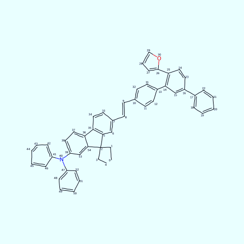 CCC1(CC)c2cc(/C=C/c3ccc(-c4cc(-c5ccccc5)ccc4-c4ccco4)cc3)ccc2-c2ccc(N(c3ccccc3)c3ccccc3)cc21